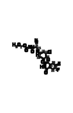 CCOC(=O)NC(=O)/C(C#N)=C\Nc1cc(Cl)c(Oc2n[nH]c(=O)c3cc(F)c(F)cc23)c(Cl)c1